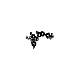 C[C@H]1[C@H](F)C[C@@H](C(=O)NCc2cc(-c3cnc(C(F)(F)F)nc3)ccc2C#N)N1S(=O)(=O)c1ccc(F)cn1